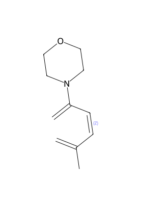 C=C(C)/C=C\C(=C)N1CCOCC1